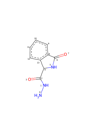 NNC(=O)C1NC(=O)c2ccccc21